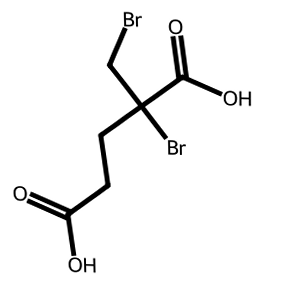 O=C(O)CCC(Br)(CBr)C(=O)O